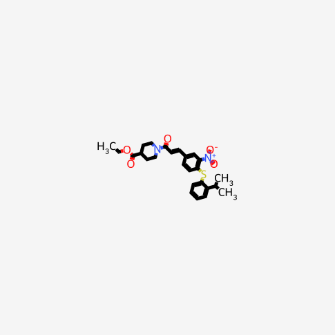 CCOC(=O)C1CCN(C(=O)C=Cc2ccc(Sc3ccccc3C(C)C)c([N+](=O)[O-])c2)CC1